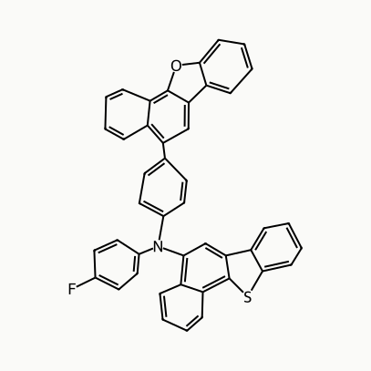 Fc1ccc(N(c2ccc(-c3cc4c5ccccc5oc4c4ccccc34)cc2)c2cc3c4ccccc4sc3c3ccccc23)cc1